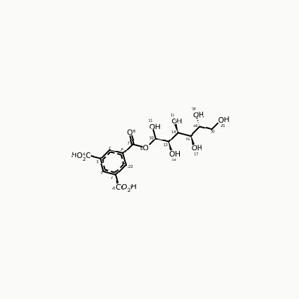 O=C(O)c1cc(C(=O)O)cc(C(=O)OC(O)[C@H](O)[C@@H](O)[C@H](O)[C@H](O)CO)c1